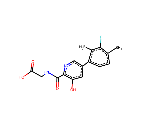 Bc1ccc(-c2cnc(C(=O)NCC(=O)O)c(O)c2)c(B)c1F